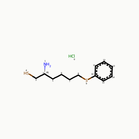 Cl.N[C@@H](CS)CCCCSc1ccccc1